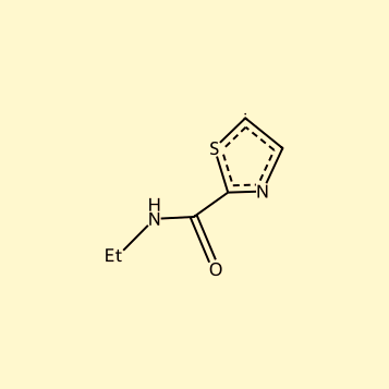 CCNC(=O)c1nc[c]s1